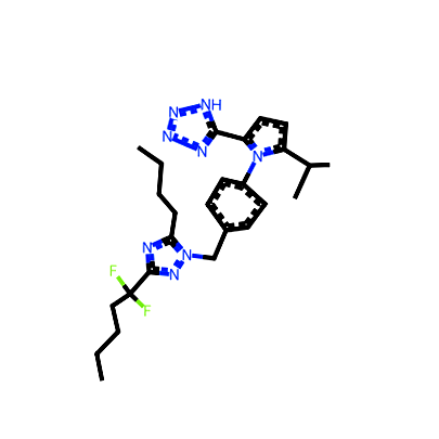 CCCCc1nc(C(F)(F)CCCC)nn1Cc1ccc(-n2c(-c3nnn[nH]3)ccc2C(C)C)cc1